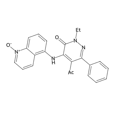 CCn1nc(-c2ccccc2)c(C(C)=O)c(Nc2cccc3c2ccc[n+]3[O-])c1=O